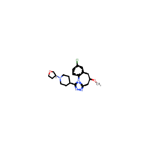 COC1Cc2cc(Cl)ccc2-n2c(nnc2C2CCN([C@H]3CCOC3)CC2)C1